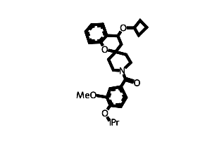 COc1cc(C(=O)N2CCC3(CC2)CC(OC2CCC2)c2ccccc2O3)ccc1OC(C)C